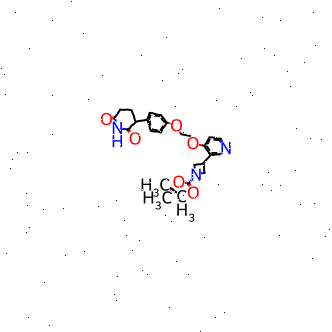 CC(C)(C)OC(=O)N1CC(c2cnccc2OCCOc2ccc(C3CCC(=O)NC3=O)cc2)C1